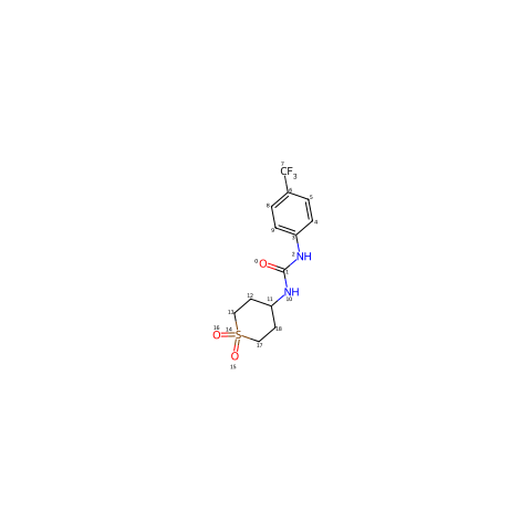 O=C(Nc1ccc(C(F)(F)F)cc1)NC1CCS(=O)(=O)CC1